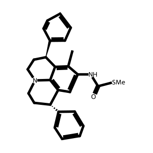 CSC(=O)Nc1cc2c3c(c1C)[C@H](c1ccccc1)CCN3CC[C@H]2c1ccccc1